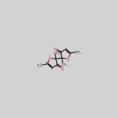 CC1=CC(=O)C(C)(C2(C)OC(C)=CC2=O)O1